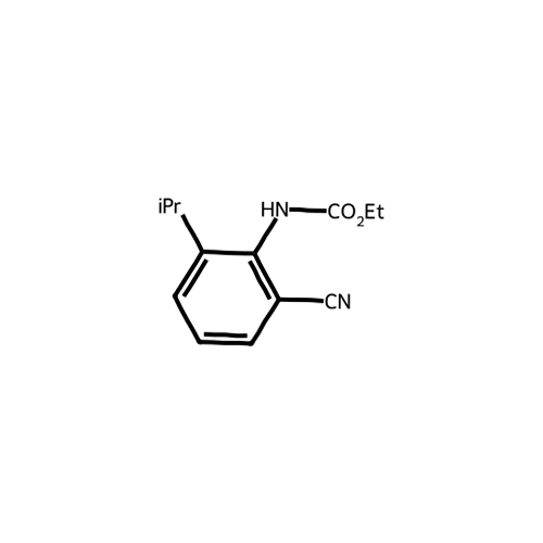 CCOC(=O)Nc1c(C#N)cccc1C(C)C